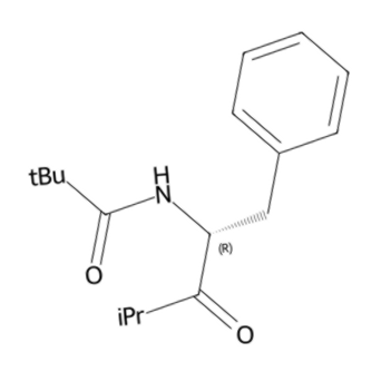 CC(C)C(=O)[C@@H](Cc1ccccc1)NC(=O)C(C)(C)C